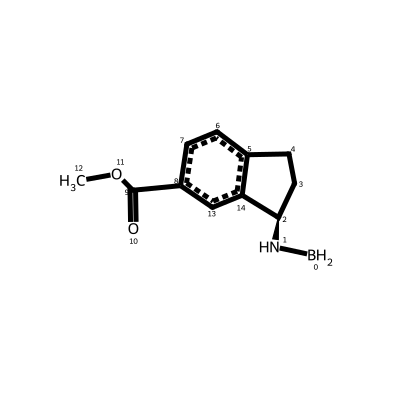 BN[C@@H]1CCc2ccc(C(=O)OC)cc21